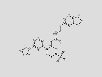 CS(=O)(=O)N1CCN(c2ccnc(-n3ccnc3)n2)C(CC(=O)NCCc2ccc3c(c2)OCO3)C1